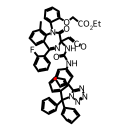 CCOC(=O)COc1ccccc1N1C(=O)C(C=C=O)(NC(=O)Nc2cccc(-c3nnnn3C(c3ccccc3)(c3ccccc3)c3ccccc3)c2)N=C(c2ccccc2F)c2cccc(C)c21